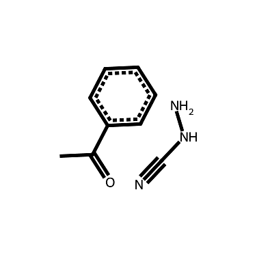 CC(=O)c1ccccc1.N#CNN